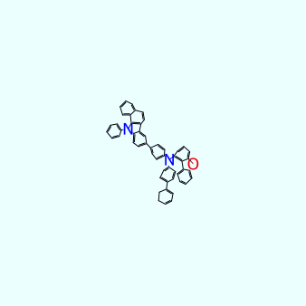 C1=CCCC(c2ccc(N(c3ccc(-c4ccc5c(c4)c4ccc6ccccc6c4n5-c4ccccc4)cc3)c3cccc4oc5ccccc5c34)cc2)=C1